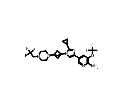 Nc1ncc(-c2cn(C34CC(N5CCN(CC(F)(F)F)CC5)(C3)C4)c(C3CC3)n2)cc1OC(F)(F)F